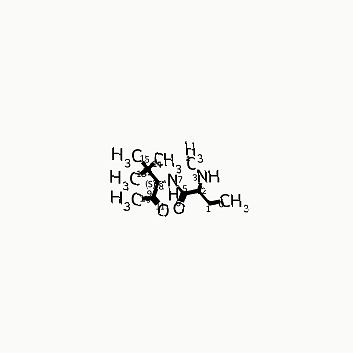 CCC(NC)C(=O)N[C@H](C(C)=O)C(C)(C)C